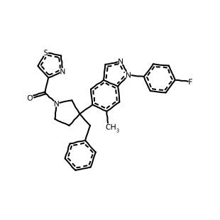 Cc1cc2c(cnn2-c2ccc(F)cc2)cc1C1(Cc2ccccc2)CCN(C(=O)c2cscn2)C1